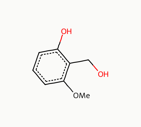 COc1cccc(O)c1CO